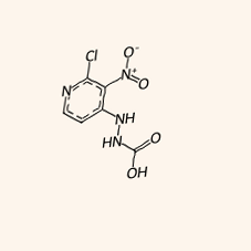 O=C(O)NNc1ccnc(Cl)c1[N+](=O)[O-]